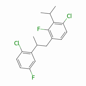 CC(C)c1c(Cl)ccc(CC(C)c2cc(F)ccc2Cl)c1F